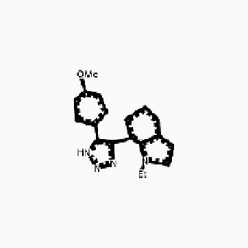 CCn1ccc2cccc(-c3nn[nH]c3-c3ccc(OC)cc3)c21